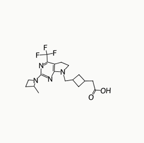 CC1CCN1c1nc2c(c(C(F)(F)F)n1)CCN2CC1CC(CC(=O)O)C1